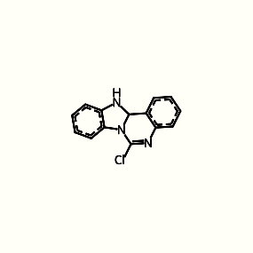 ClC1=Nc2ccccc2C2Nc3ccccc3N12